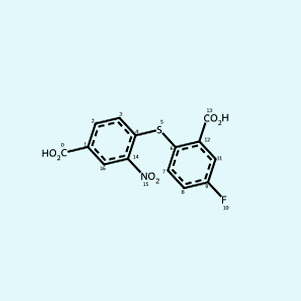 O=C(O)c1ccc(Sc2ccc(F)cc2C(=O)O)c([N+](=O)[O-])c1